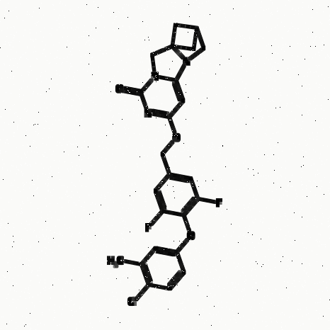 Cc1cc(Oc2c(F)cc(COc3cc4n(c(=O)n3)CC35CC(CN43)C5)cc2F)ccc1Cl